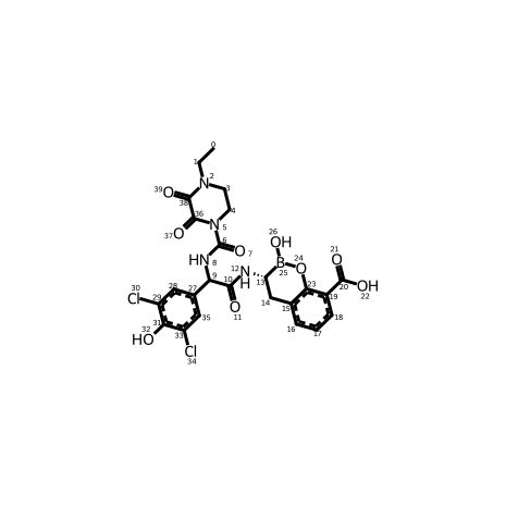 CCN1CCN(C(=O)NC(C(=O)N[C@H]2Cc3cccc(C(=O)O)c3OB2O)c2cc(Cl)c(O)c(Cl)c2)C(=O)C1=O